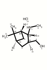 CN[C@@H]1[C@@H](CO)C[C@@H]2C[C@@H]1C2(C)C.Cl